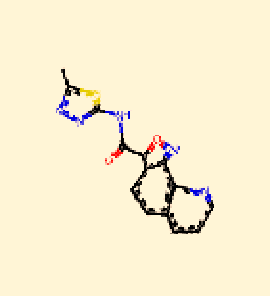 Cc1nnc(NC(=O)c2onc3c2ccc2cccnc23)s1